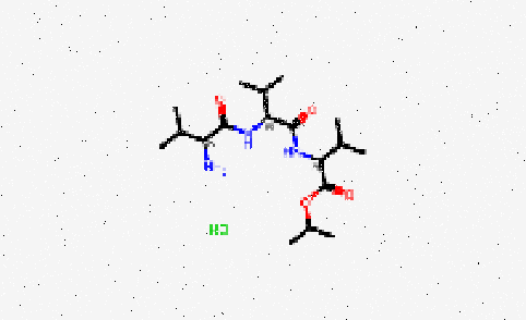 CC(C)OC(=O)[C@@H](NC(=O)[C@@H](NC(=O)[C@@H](N)C(C)C)C(C)C)C(C)C.Cl